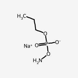 CCCOP(=O)([O-])ON.[Na+]